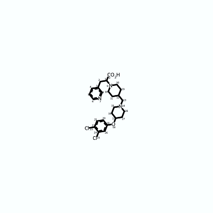 O=C(O)C(Cc1cccnc1)N1CCC(CN2CCC(Oc3ccc(Cl)c(Cl)c3)CC2)CC1